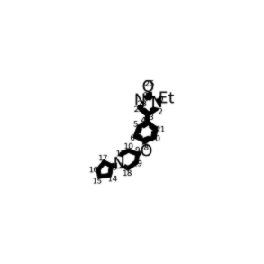 CCn1cc(-c2ccc(OC3CCN(C4CCCC4)CC3)cc2)cnc1=O